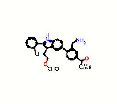 COC(=O)c1ccc(-c2ccc3[nH]c(-c4ccccc4Cl)c(CCOC=O)c3c2)c(CN)c1